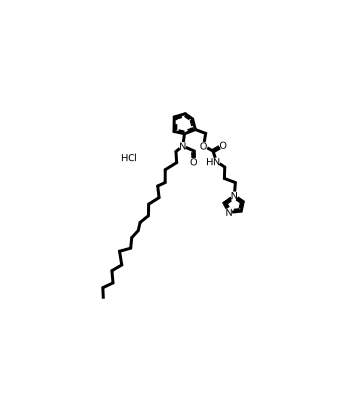 CCCCCCCCCCCCCCCCCCN(C=O)c1ccccc1COC(=O)NCCCn1ccnc1.Cl